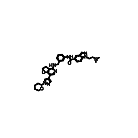 CN(C)CCn1ncc2cc(C(=O)Nc3cccc(CNc4ncc(-c5cnn(C6CCCCO6)c5)c5c4CCO5)c3)ccc21